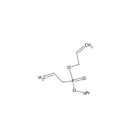 C=CCOP(=O)(CC=C)OCCC